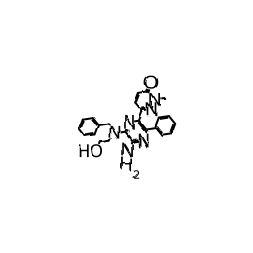 Cn1nc(-c2nc(N(CCO)Cc3ccccc3)c(N)nc2-c2ccccc2)ccc1=O